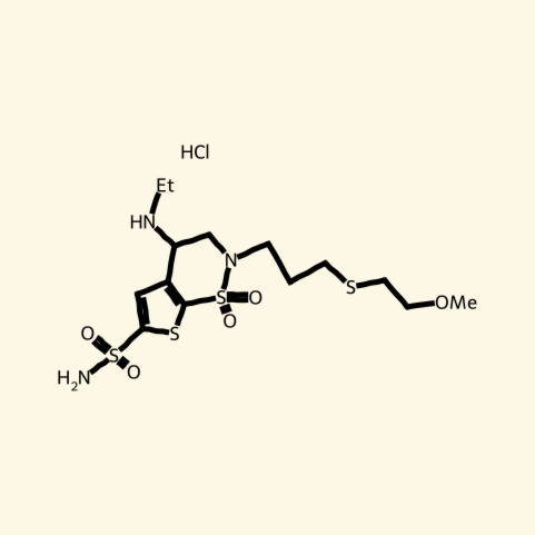 CCNC1CN(CCCSCCOC)S(=O)(=O)c2sc(S(N)(=O)=O)cc21.Cl